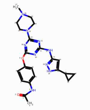 CC(=O)Nc1ccc(Oc2nc(Nc3cc(C4CC4)[nH]n3)nc(N3CCN(C)CC3)n2)cc1